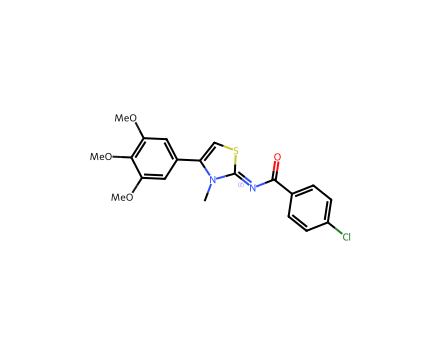 COc1cc(-c2cs/c(=N\C(=O)c3ccc(Cl)cc3)n2C)cc(OC)c1OC